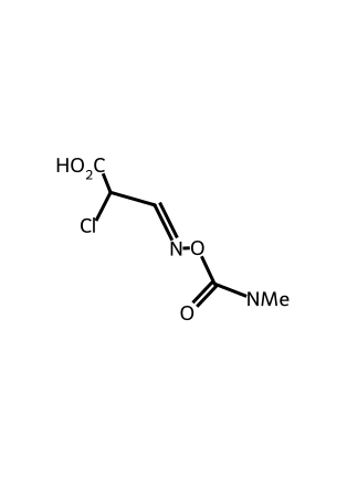 CNC(=O)O/N=C/C(Cl)C(=O)O